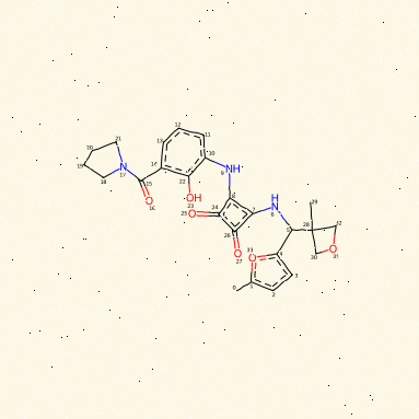 Cc1ccc(C(Nc2c(Nc3cccc(C(=O)N4CCCC4)c3O)c(=O)c2=O)C2(C)COC2)o1